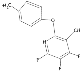 [CH2]c1ccc(Oc2nc(F)c(F)c(F)c2C)cc1